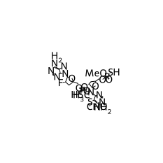 COP(=O)(S)OCC1C[C@@H](OP(=O)(S)OCC2C[C@@H](F)C(n3cnc4c(N)ncnc43)O2)C(N(C)c2ncnc(N)c2SC=O)O1